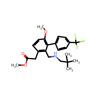 COC(=O)Cc1ccc(OC)c(-c2ccc(C(F)(F)F)cc2)c1CNCC(C)(C)C